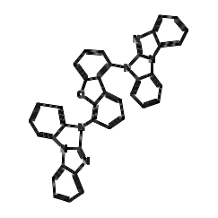 c1ccc2c(c1)nc1n(-c3cccc4c3oc3cccc(-n5c6ccccc6n6c7ccccc7nc56)c34)c3ccccc3n21